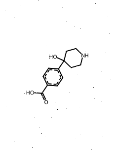 O=C(O)c1ccc(C2(O)CCNCC2)cc1